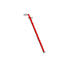 CCCCCCCCCCCCCCCC(=O)NCCOCCOCCOCCOCCOCCOCCOCCOCCOCCOCCOCCOCCOCCOCCOCCOCCOCCOCCOCCOCCOCCOCCOCCCl